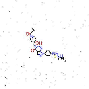 CNSNc1ccc(-n2ncc3c(=O)n(CC4(O)CCN(C(=O)C5CC5)CC4)cnc32)cc1